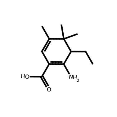 CCC1C(N)=C(C(=O)O)C=C(C)C1(C)C